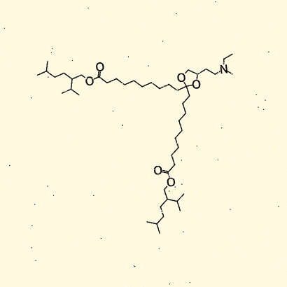 CCN(C)CCC1COC(CCCCCCCCCC(=O)OCC(CCC(C)C)C(C)C)(CCCCCCCCCC(=O)OCC(CCC(C)C)C(C)C)O1